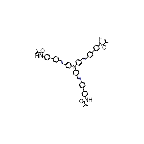 C=C(C)C(=O)Nc1ccc(-c2ccc(/C=C/c3ccc(N(c4ccc(/C=C/c5ccc(-c6ccc(NC(=O)C(=C)C)cc6)cc5)cc4)c4ccc(/C=C/c5ccc(-c6ccc(NC(=O)C(=C)C)cc6)cc5)cc4)cc3)cc2)cc1